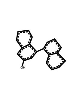 Oc1[c]c(-c2[c]ccc3ccccc23)c2ccccc2c1